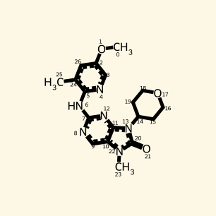 COc1cnc(Nc2ncc3c(n2)n(C2CCOCC2)c(=O)n3C)c(C)c1